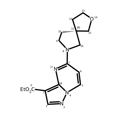 CCOC(=O)c1cnn2ccc(N3CC[C@@]4(CCOC4)C3)nc12